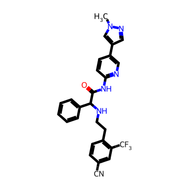 Cn1cc(-c2ccc(NC(=O)C(NCCc3ccc(C#N)cc3C(F)(F)F)c3ccccc3)nc2)cn1